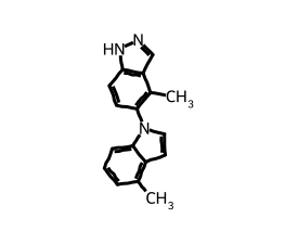 Cc1c(-n2ccc3c(C)cccc32)ccc2[nH]ncc12